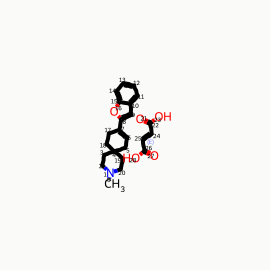 CN1CCC2(CC=C(c3cc4ccccc4o3)CC2)CC1.O=C(O)/C=C/C(=O)O